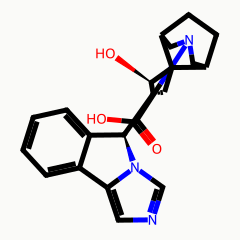 O=C(O)N1CC2CCC(C1)C21C[C@H]([C@@H]2c3ccccc3-c3cncn32)[C@H]1O